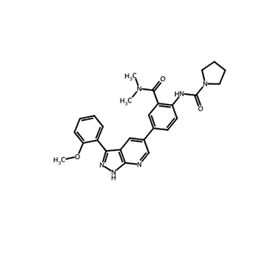 COc1ccccc1-c1n[nH]c2ncc(-c3ccc(NC(=O)N4CCCC4)c(C(=O)N(C)C)c3)cc12